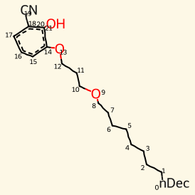 CCCCCCCCCCCCCCCCCCOCCCOc1cccc(C#N)c1O